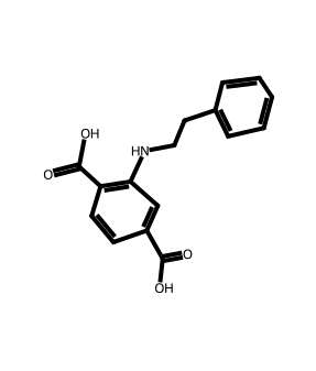 O=C(O)c1ccc(C(=O)O)c(NCCc2ccccc2)c1